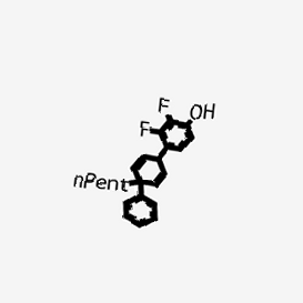 CCCCCC1(c2ccccc2)C=CC(c2ccc(O)c(F)c2F)C=C1